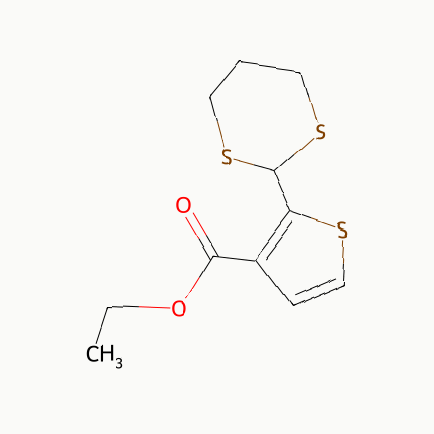 CCOC(=O)c1ccsc1C1SCCCS1